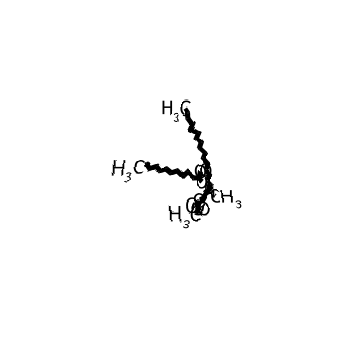 CCCCCCCCCCCCOCC(CN(C)CCOS(C)(=O)=O)OC(=O)CCCCCCCCCCC